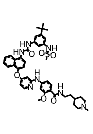 COc1cc(Nc2cc(Oc3ccc(NC(=O)Nc4cc(NS(C)(=O)=O)cc(C(C)(C)C)c4)c4ccccc34)ccn2)ccc1C(=O)NCCC1CCN(C)CC1